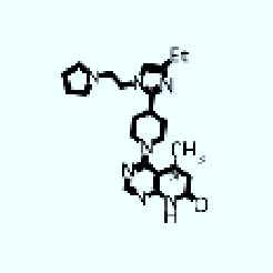 CCc1cn(CCN2CCCC2)c(C2CCN(c3ncnc4c3[C@H](C)CC(=O)N4)CC2)n1